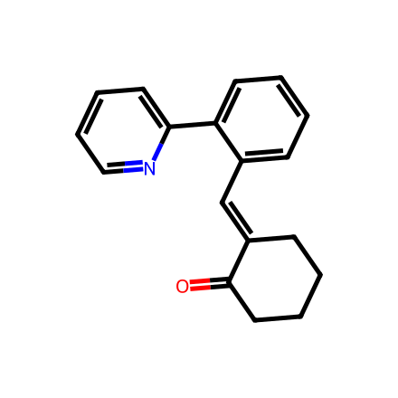 O=C1CCCC/C1=C\c1ccccc1-c1ccccn1